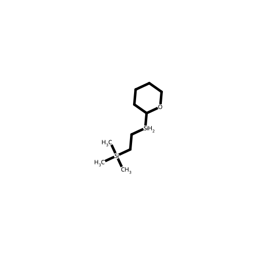 C[Si](C)(C)CC[SiH2]C1CCCCO1